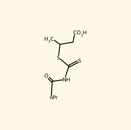 CCCC(=O)NC(=S)SC(C)CC(=O)O